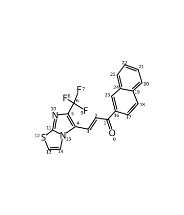 O=C(C=Cc1c(C(F)(F)F)nc2sccn12)c1ccc2ccccc2c1